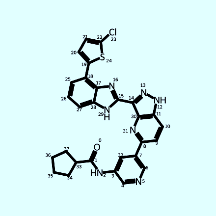 O=C(Nc1cncc(-c2ccc3[nH]nc(-c4nc5c(-c6ccc(Cl)s6)cccc5[nH]4)c3n2)c1)C1CCCC1